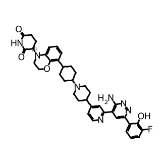 Nc1nnc(-c2cccc(F)c2O)cc1-c1cc(C2CCN(C3CCC(c4cccc5c4OCCN5[C@@H]4CCC(=O)NC4=O)CC3)CC2)ccn1